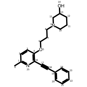 Cc1ccc(OCCCN2CCCC(O)C2)c(C#Cc2ccccc2)n1